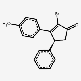 Cc1ccc(C2=C(Br)C(=O)C[C@H]2c2ccccc2)cc1